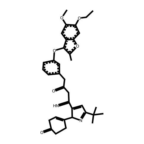 CCOc1cc2oc(C)c(Oc3cccc(CC(=O)CC(=N)C4=CC(C(C)(C)C)=NC4C4=CCC(=O)CC4)c3)c2cc1OC